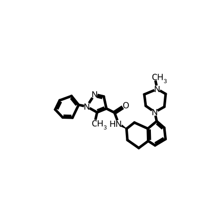 Cc1c(C(=O)N[C@@H]2CCc3cccc(N4CCN(C)CC4)c3C2)cnn1-c1ccccc1